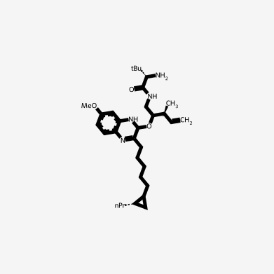 C=C[C@H](C)C(CNC(=O)[C@@H](N)C(C)(C)C)OC1Nc2cc(OC)ccc2N=C1CCCCCC1C[C@@H]1CCC